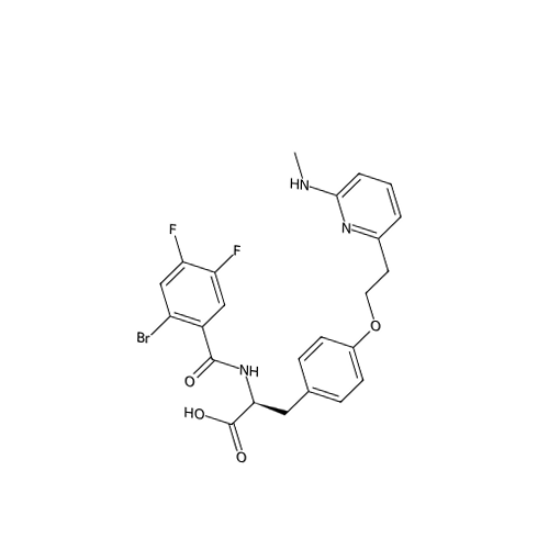 CNc1cccc(CCOc2ccc(C[C@H](NC(=O)c3cc(F)c(F)cc3Br)C(=O)O)cc2)n1